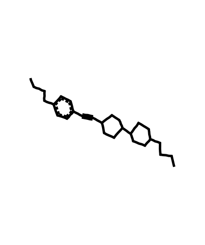 CCCCc1ccc(C#CC2CCC(C3CCC(CCCC)CC3)CC2)cc1